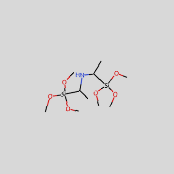 CO[Si](OC)(OC)C(C)NC(C)[Si](OC)(OC)OC